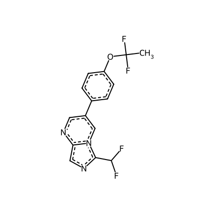 CC(F)(F)Oc1ccc(-c2cnc3cnc(C(F)F)n3c2)cc1